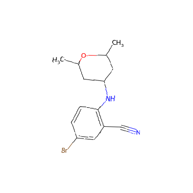 CC1CC(Nc2ccc(Br)cc2C#N)CC(C)O1